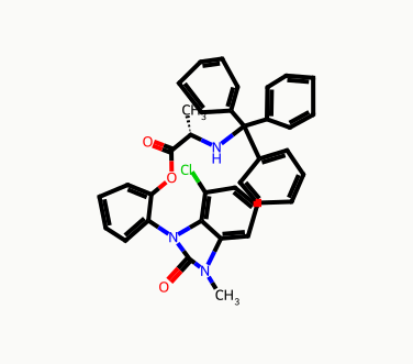 C[C@H](NC(c1ccccc1)(c1ccccc1)c1ccccc1)C(=O)Oc1ccccc1-n1c(=O)n(C)c2cccc(Cl)c21